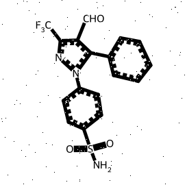 NS(=O)(=O)c1ccc(-n2nc(C(F)(F)F)c(C=O)c2-c2ccccc2)cc1